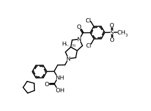 C1CCCC1.CS(=O)(=O)c1cc(Cl)c(C(=O)N2CC3CN(CCC(NC(=O)O)c4ccccc4)C[C@H]3C2)c(Cl)c1